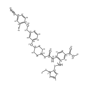 CCn1cncc1CNc1cc(C(=O)OC)ccc1NC(=O)CN1CCC(Oc2cccc(COc3ccc(C#N)cc3F)c2)CC1